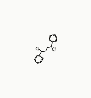 ClC(CCC(Cl)c1ccccc1)c1ccccc1